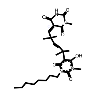 CCCCCCCCn1c(=O)c(C(C)(C)C=CC(C)(C)/C=C2/C(=O)NC(=O)N(C)C2=O)c(O)n(C)c1=O